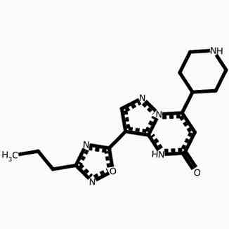 CCCc1noc(-c2cnn3c(C4CCNCC4)cc(=O)[nH]c23)n1